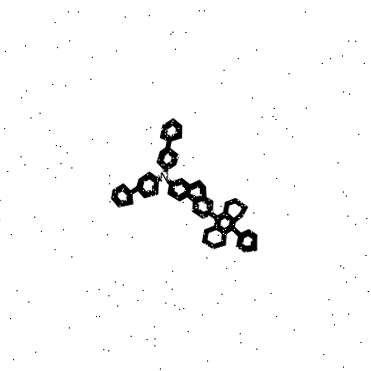 c1ccc(-c2ccc(N(c3ccc(-c4ccccc4)cc3)c3ccc4c(ccc5cc(-c6c7c(c(-c8ccccc8)c8c6CCCC8)CCCC7)ccc54)c3)cc2)cc1